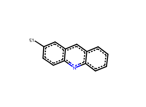 CCc1ccc2nc3ccccc3cc2c1